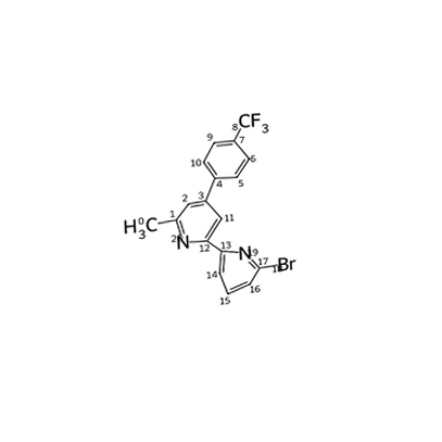 Cc1cc(-c2ccc(C(F)(F)F)cc2)cc(-c2cccc(Br)n2)n1